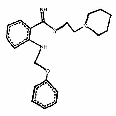 N=C(SCCN1CCCCC1)c1ccccc1NCOc1ccccc1